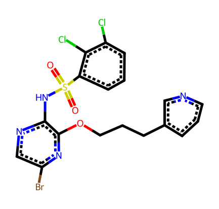 O=S(=O)(Nc1ncc(Br)nc1OCCCc1cccnc1)c1cccc(Cl)c1Cl